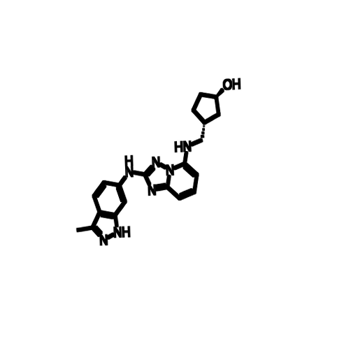 Cc1n[nH]c2cc(Nc3nc4cccc(NC[C@@H]5CC[C@@H](O)C5)n4n3)ccc12